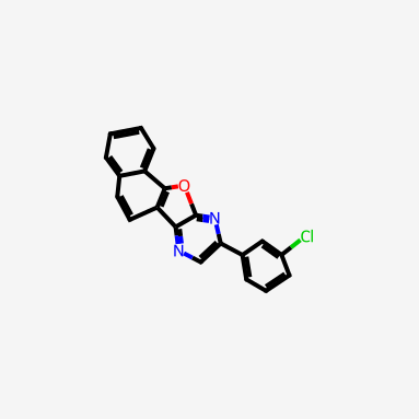 Clc1cccc(-c2cnc3c(n2)oc2c4ccccc4ccc32)c1